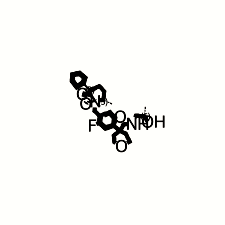 C[C@H](O)CNC(=O)C1(c2ccc(CN3[C@@H](C)CC[C@H](c4ccccc4)S3(=O)=O)c(F)c2)CCOCC1